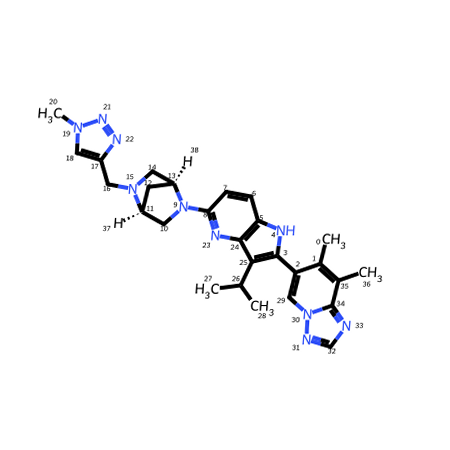 Cc1c(-c2[nH]c3ccc(N4C[C@@H]5C[C@H]4CN5Cc4cn(C)nn4)nc3c2C(C)C)cn2ncnc2c1C